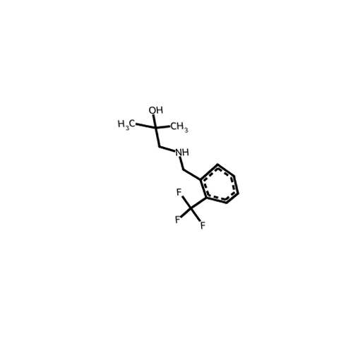 CC(C)(O)CNCc1ccccc1C(F)(F)F